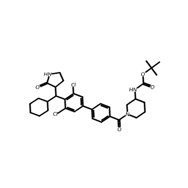 CC(C)(C)OC(=O)NC1CCCN(C(=O)c2ccc(-c3cc(Cl)c(C(C4CCCCC4)C4CCNC4=O)c(Cl)c3)cc2)C1